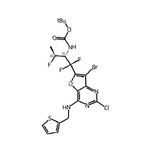 C[C@H](F)[C@H](NC(=O)OC(C)(C)C)C(F)(F)c1oc2c(NCc3cccs3)nc(Cl)nc2c1Br